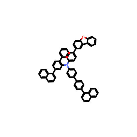 c1ccc(-c2ccc(-c3cccc4ccccc34)cc2N(c2ccc(-c3ccc(-c4cccc5ccccc45)cc3)cc2)c2ccc(-c3ccc4oc5ccccc5c4c3)cc2)cc1